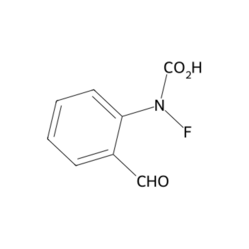 O=Cc1ccccc1N(F)C(=O)O